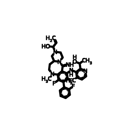 C=CC(O)N1CCN2C(=N)c3c(Nc4c(C)ccnc4C(C)O)c(F)c(-c4ccccc4F)c(F)c3N(C)CCC2C1